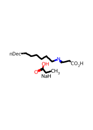 CCC(=O)O.CCCCCCCCCCCCCCCCN=CCC(=O)O.[NaH]